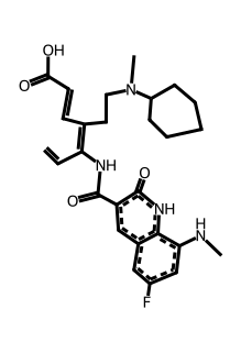 C=C/C(NC(=O)c1cc2cc(F)cc(NC)c2[nH]c1=O)=C(\C=C\C(=O)O)CCN(C)C1CCCCC1